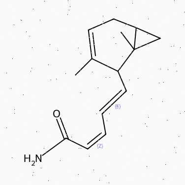 CC1=CCC2CC2(C)C1/C=C/C=C\C(N)=O